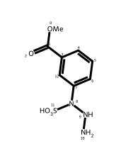 COC(=O)c1cccc(N(NN)S(=O)(=O)O)c1